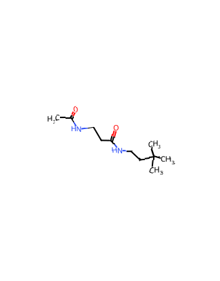 CC(=O)NCCC(=O)NCCC(C)(C)C